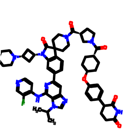 CC(C)n1cnc2cc(-c3ccc4c(c3)N([C@H]3C[C@@H](N5CCCCC5)C3)C(=O)C43CCN(C(=O)[C@@H]4CCN(C(=O)[C@H]5CC[C@H](Oc6ccc(C7CCC(=O)NC7=O)cc6)CC5)C4)CC3)nc(Nc3ccncc3F)c21